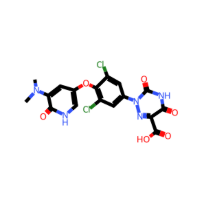 CN(C)c1cc(Oc2c(Cl)cc(-n3nc(C(=O)O)c(=O)[nH]c3=O)cc2Cl)c[nH]c1=O